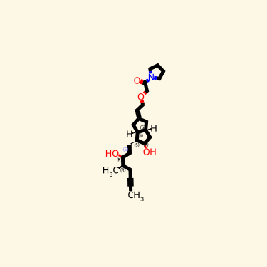 CC#CC[C@@H](C)[C@@H](O)/C=C/[C@@H]1[C@H]2CC(=CCOCC(=O)N3CCCC3)C[C@H]2C[C@H]1O